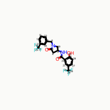 O=C(NC1CC(=O)N(Cc2cccc(C(F)(F)F)c2)C1)c1cc(C(F)(F)F)ccc1O